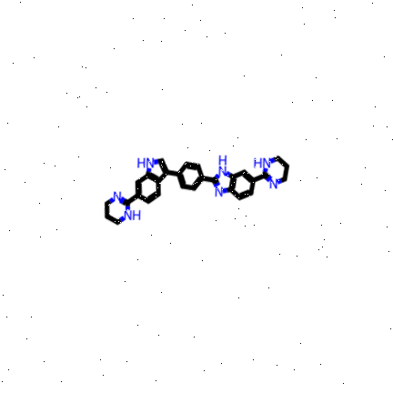 c1cc2nc(-c3ccc(-c4c[nH]c5cc(C6=NCCCN6)ccc45)cc3)[nH]c2cc1C1=NCCCN1